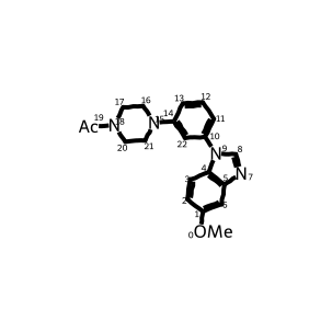 COc1ccc2c(c1)ncn2-c1cccc(N2CCN(C(C)=O)CC2)c1